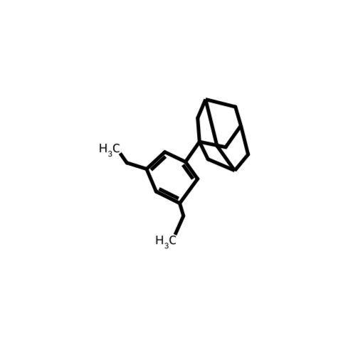 CCc1cc(CC)cc(C23CC4CC(CC(C4)C2)C3)c1